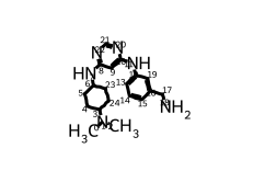 CN(C)C1CCC(Nc2cc(Nc3cccc(CN)c3)ncn2)CC1